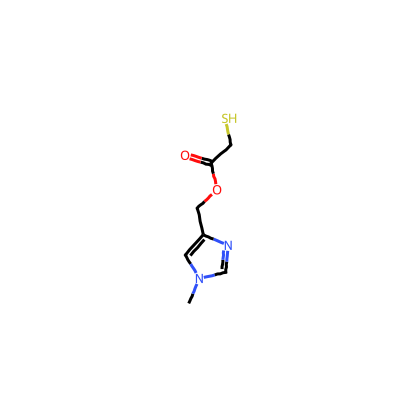 Cn1cnc(COC(=O)CS)c1